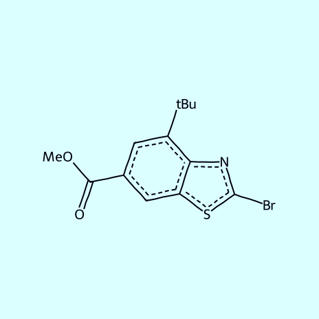 COC(=O)c1cc(C(C)(C)C)c2nc(Br)sc2c1